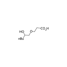 CCCCC(O)COCCC(=O)O